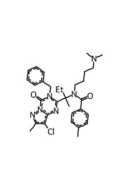 CCC(C)(c1nc2c(Cl)c(C)nn2c(=O)n1Cc1ccccc1)N(CCCCN(C)C)C(=O)c1ccc(C)cc1